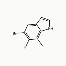 Cc1c(F)c(Br)cc2cc[nH]c12